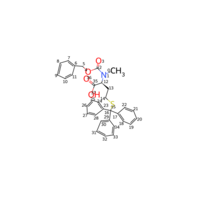 CN(C(=O)OCc1ccccc1)[C@@H](CCSC(c1ccccc1)(c1ccccc1)c1ccccc1)C(=O)O